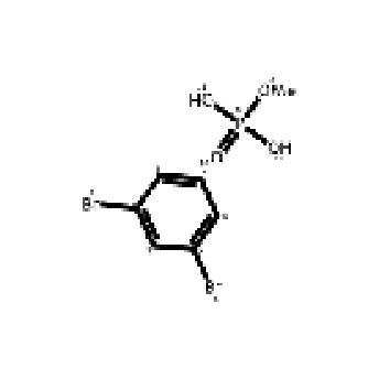 Brc1cccc(Br)c1.COP(=O)(O)O